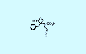 O=C=CCN(C(=O)O)N1COC(O)C1Cc1ccccc1